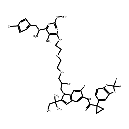 CCCSc1nc(NCCOCCNCC(O)Cn2c(C(C)(C)CO)cc3cc(NC(=O)C4(c5ccc6c(c5)OC(F)(F)O6)CC4)c(F)cc32)c(N)c(N(N)Cc2ccc(Cl)cc2)n1